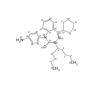 CCCCC(CCCC)N1N=C(C2CCCCC2)c2ccccc2N(c2ccc(N)cc2)C1=O